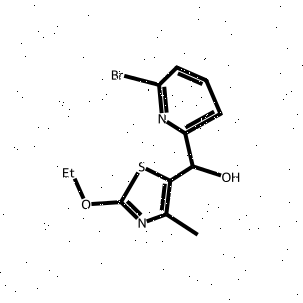 CCOc1nc(C)c(C(O)c2cccc(Br)n2)s1